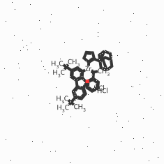 C/[C](c1ccccc1)=[Zr](\[C]1=C(C23CC4CC(CC(C4)C2)C3)C=CC1)[c]1cc(C(C)(C)C)cc2c1Cc1ccc(C(C)(C)C)cc1-2.Cl.Cl